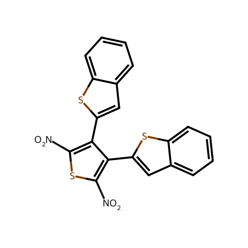 O=[N+]([O-])c1sc([N+](=O)[O-])c(-c2cc3ccccc3s2)c1-c1cc2ccccc2s1